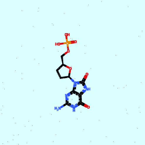 Nc1nc2c([nH]c(=O)n2[C@H]2CC[C@@H](COP(=O)(O)O)O2)c(=O)[nH]1